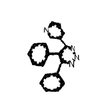 c1ccc(-c2nnnc(-c3cccnc3)c2-c2ccccc2)cc1